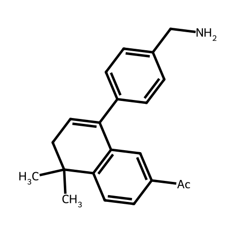 CC(=O)c1ccc2c(c1)C(c1ccc(CN)cc1)=CCC2(C)C